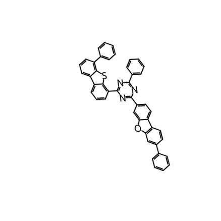 c1ccc(-c2ccc3c(c2)oc2cc(-c4nc(-c5ccccc5)nc(-c5cccc6c5sc5c(-c7ccccc7)cccc56)n4)ccc23)cc1